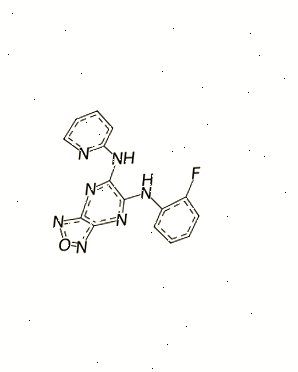 Fc1ccccc1Nc1nc2nonc2nc1Nc1ccccn1